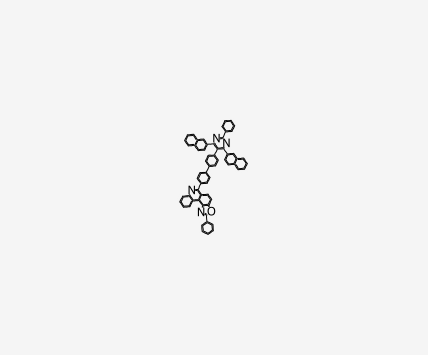 c1ccc(-c2nc(-c3ccc4ccccc4c3)c(-c3ccc(-c4ccc(-c5nc6ccccc6c6c5ccc5oc(-c7ccccc7)nc56)cc4)cc3)c(-c3ccc4ccccc4c3)n2)cc1